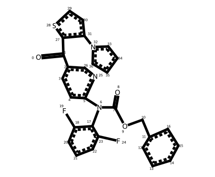 O=C(c1ccc(N(C(=O)OCc2ccccc2)c2c(F)cccc2F)nc1)c1sccc1-n1cccc1